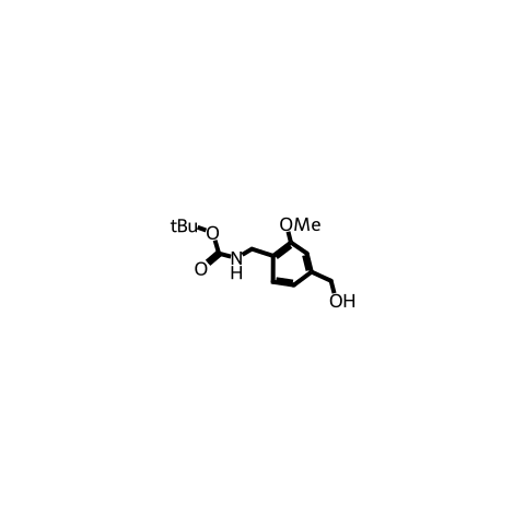 COc1cc(CO)ccc1CNC(=O)OC(C)(C)C